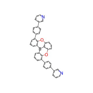 c1cncc(-c2ccc(-c3cccc4c3Oc3cccc5c3B4c3cccc(-c4ccc(-c6cccnc6)cc4)c3O5)cc2)c1